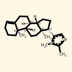 Cc1ncc([C@H]2CC[C@H]3[C@@H]4CCC5=CCCC[C@]5(C)[C@H]4CC[C@]23C)n1C